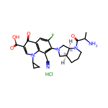 CC(N)C(=O)N1CCC[C@H]2CN(c3c(F)cc4c(=O)c(C(=O)O)cn(C5CC5)c4c3C#N)C[C@H]21.Cl